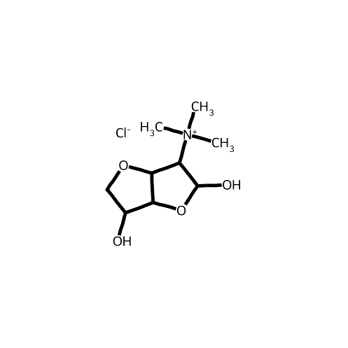 C[N+](C)(C)C1C(O)OC2C(O)COC21.[Cl-]